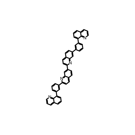 c1cc(-c2ccc3ccc(-c4ccc5ccc(-c6cccc(-c7cccc8cccnc78)c6)nc5c4)nc3c2)cc(-c2cccc3cccnc23)c1